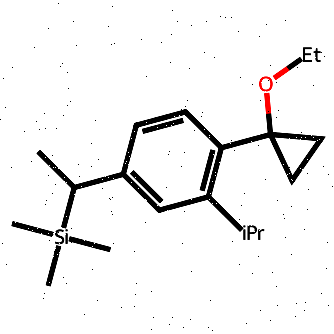 CCOC1(c2ccc(C(C)[Si](C)(C)C)cc2C(C)C)CC1